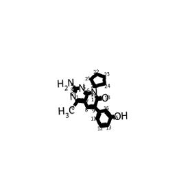 Cc1nc(N)nc2c1cc(-c1cccc(O)c1)c(=O)n2C1CCCC1